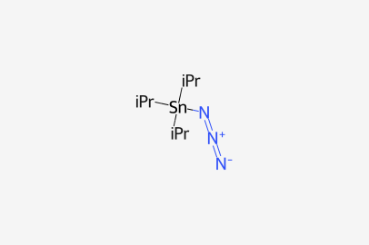 C[CH](C)[Sn]([N]=[N+]=[N-])([CH](C)C)[CH](C)C